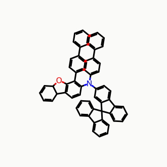 C1=CC2Oc3c(ccc(N(c4ccc(-c5ccccc5)cc4)c4ccc5c(c4)C4(c6ccccc6-c6ccccc64)c4ccccc4-5)c3-c3ccc(-c4ccccc4)cc3)C2C=C1